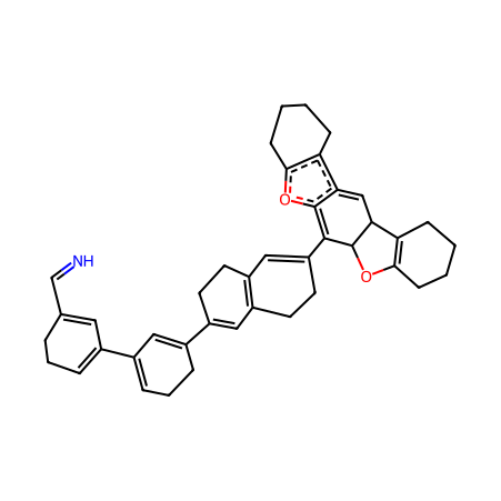 N=CC1=CC(C2=CCCC(C3=CC4=C(C=C(C5=c6oc7c(c6=CC6C8=C(CCCC8)OC56)CCCC7)CC4)CC3)=C2)=CCC1